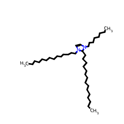 CCCCCCCCCCCCCCCC1N(CCCCCCCC)C=CN1CCCCCCCCCCCCCC